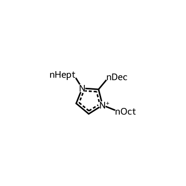 CCCCCCCCCCc1n(CCCCCCC)cc[n+]1CCCCCCCC